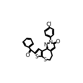 O=C(c1ccccc1)c1cc2c(s1)SCCc1cc(=O)n(-c3ccc(Cl)cc3)nc1-2